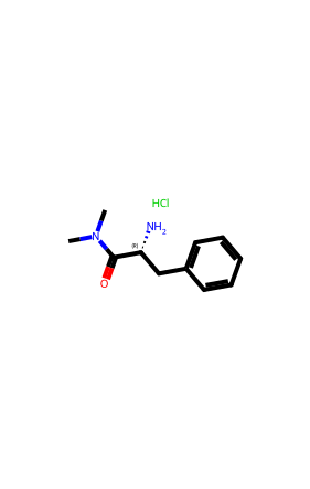 CN(C)C(=O)[C@H](N)Cc1ccccc1.Cl